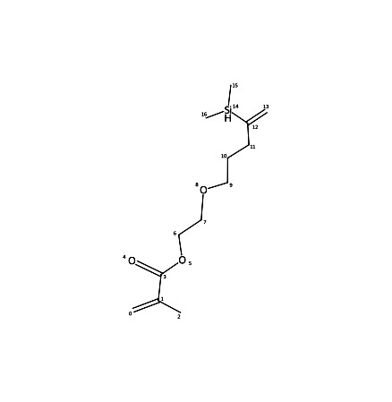 C=C(C)C(=O)OCCOCCCC(=C)[SiH](C)C